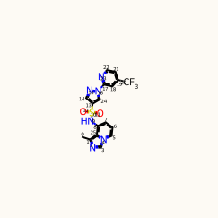 Cc1ncn2cccc(NS(=O)(=O)c3cnn(-c4cc(C(F)(F)F)ccn4)c3)c12